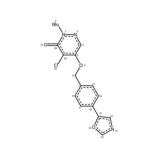 CC(C)(C)n1ncc(OCc2ccc(-c3cnco3)cc2)c(Cl)c1=O